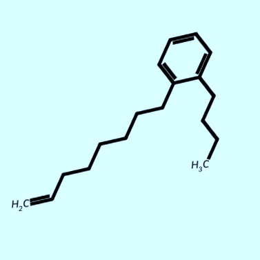 C=CCCCCCCc1ccccc1CCCC